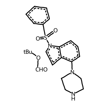 CC(C)(C)OC=O.O=S(=O)(c1ccccc1)n1ccc2c(N3CCNCC3)cccc21